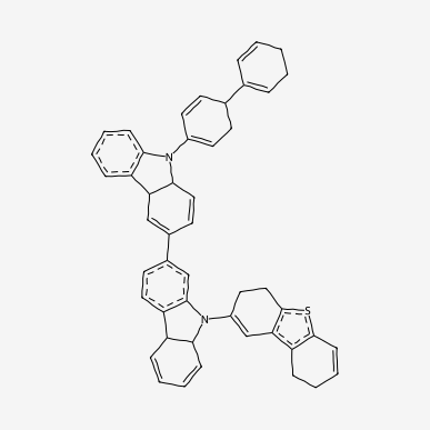 C1=CC2c3ccc(C4=CC5c6ccccc6N(C6=CCC(C7=CCCC=C7)C=C6)C5C=C4)cc3N(C3=Cc4c(sc5c4CCC=C5)CC3)C2C=C1